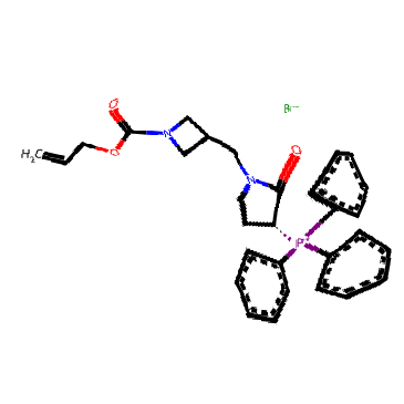 C=CCOC(=O)N1CC(CN2CC[C@@H]([P+](c3ccccc3)(c3ccccc3)c3ccccc3)C2=O)C1.[Br-]